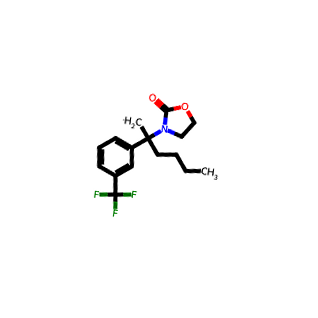 [CH2]C(CCCC)(c1cccc(C(F)(F)F)c1)N1CCOC1=O